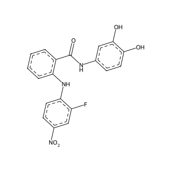 O=C(Nc1ccc(O)c(O)c1)c1ccccc1Nc1ccc([N+](=O)[O-])cc1F